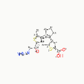 Cc1sc(C(=O)O)cc1C1=C(c2cc(C(=O)CN=[N+]=[N-])sc2C)CCC1